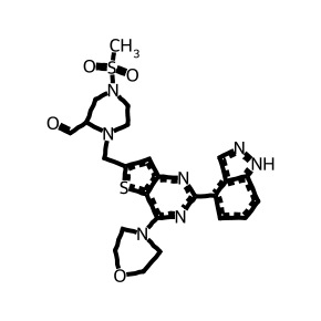 CS(=O)(=O)N1CCN(Cc2cc3nc(-c4cccc5[nH]ncc45)nc(N4CCOCC4)c3s2)C(C=O)C1